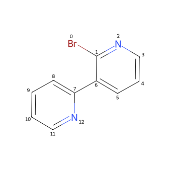 Brc1ncccc1-c1ccccn1